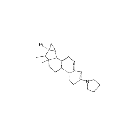 CC1[C@H]2CC2C2C3CC=C4C=C(N5CCCC5)CCC4C3CCC21C